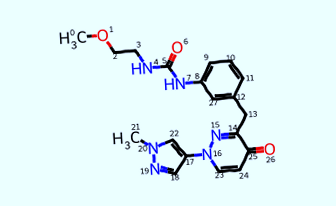 COCCNC(=O)Nc1cccc(Cc2nn(-c3cnn(C)c3)ccc2=O)c1